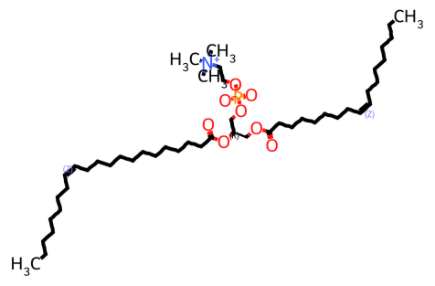 CCCCCCCC/C=C\CCCCCCCCCCCC(=O)O[C@H](COC(=O)CCCCCCC/C=C\CCCCCCCC)COP(=O)([O-])OCC[N+](C)(C)C